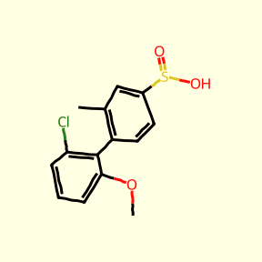 COc1cccc(Cl)c1-c1ccc(S(=O)O)cc1C